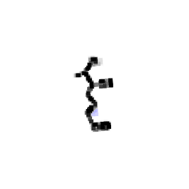 CCC(C)C(C)C(O)C/C=C/C=O